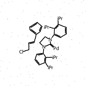 CC(C)c1cccc(N2CCN(c3cccc(C(C)C)c3C(C)C)[C]2=[Pd])c1C(C)C.ClCC=Cc1ccccc1